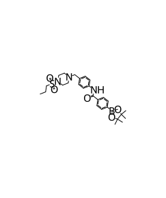 CCCS(=O)(=O)N1CCN(Cc2ccc(NC(=O)c3ccc(B4OC(C)(C)C(C)(C)O4)cc3)cc2)CC1